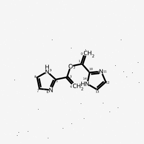 C=C(OC(=C)c1ncc[nH]1)c1ncc[nH]1